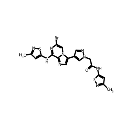 Cc1cc(NC(=O)Cn2cc(-c3cnc4c(Nc5cc(C)ns5)nc(Br)cn34)cn2)sn1